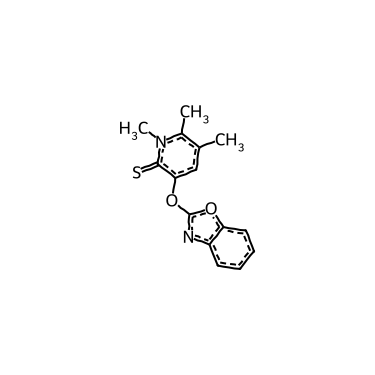 Cc1cc(Oc2nc3ccccc3o2)c(=S)n(C)c1C